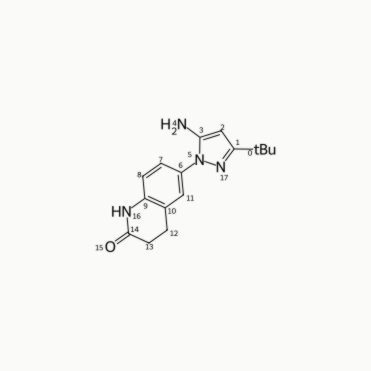 CC(C)(C)c1cc(N)n(-c2ccc3c(c2)CCC(=O)N3)n1